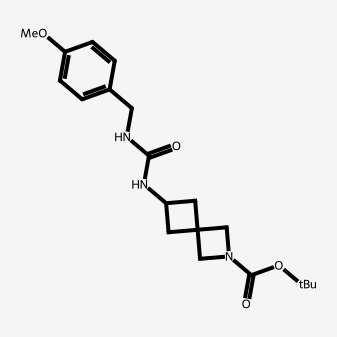 COc1ccc(CNC(=O)NC2CC3(C2)CN(C(=O)OC(C)(C)C)C3)cc1